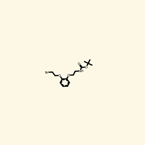 CC(C)(C)OC(=O)NCCOc1ccccc1OCCBr